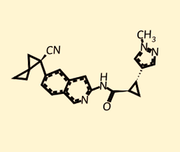 Cn1cc([C@@H]2C[C@H]2C(=O)Nc2cc3cc([C@@]4(C#N)CC45CC5)ccc3cn2)cn1